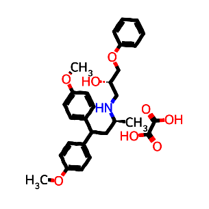 COc1ccc(C(C[C@H](C)NC[C@H](O)COc2ccccc2)c2ccc(OC)cc2)cc1.O=C(O)C(=O)O